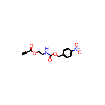 C#CC(=O)OCCNC(=O)OCc1ccc([N+](=O)[O-])cc1